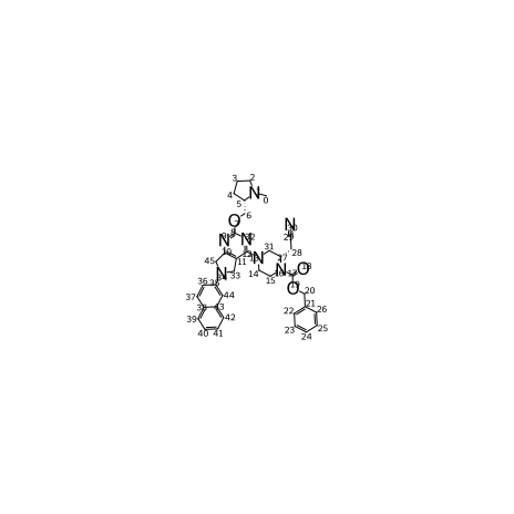 CN1CCC[C@H]1COc1nc2c(c(N3CCN(C(=O)OCc4ccccc4)[C@@H](CC#N)C3)n1)CN(c1ccc3ccccc3c1)C2